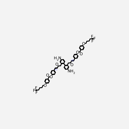 Nc1ccc(-c2ccc(N)cc2CC(=O)/C=C/c2ccc(OC(=O)c3ccc(OCCCCC(F)(F)F)cc3)cc2)c(CC(=O)/C=C/c2ccc(OC(=O)c3ccc(OCCCCC(F)(F)F)cc3)cc2)c1